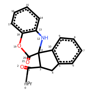 CCCC(=O)C1Cc2ccccc2C12Nc1ccccc1OC2=O